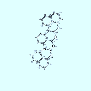 c1cc2c3c(c1)N1B(OB3OB3Oc4cccc5cccc(c45)N32)Oc2cccc3cccc1c23